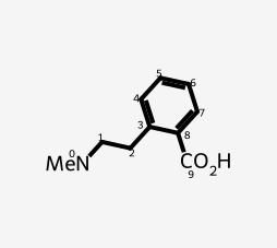 CNCCc1ccccc1C(=O)O